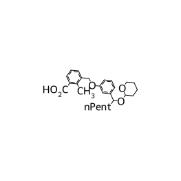 CCCCCC(OC1CCCCO1)c1cccc(OCc2cccc(C(=O)O)c2C)c1